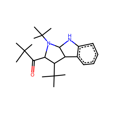 CC(C)(C)C(=O)C1C(C(C)(C)C)C2c3ccccc3NC2N1C(C)(C)C